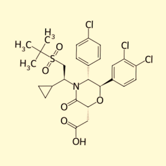 CC(C)(C)S(=O)(=O)C[C@H](C1CC1)N1C(=O)[C@@H](CC(=O)O)O[C@H](c2ccc(Cl)c(Cl)c2)[C@H]1c1ccc(Cl)cc1